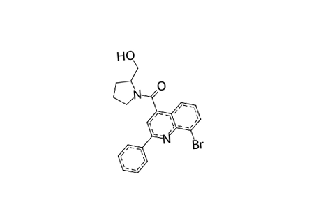 O=C(c1cc(-c2ccccc2)nc2c(Br)cccc12)N1CCCC1CO